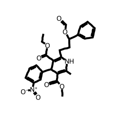 CCOC(=O)C1=C(CCC(OC=O)c2ccccc2)NC(C)=C(C(=O)OC)C1c1cccc([N+](=O)[O-])c1